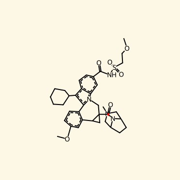 COCCS(=O)(=O)NC(=O)c1ccc2c(C3CCCCC3)c3n(c2c1)CC1(C(=O)N2C4CCC2CN(C)C4)CC1c1cc(OC)ccc1-3